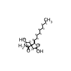 CCCCCCCCC=CC(CCO)(CC(=O)O)C(N)=O